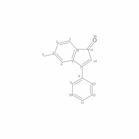 Cc1ccc2c(c1)C(c1ccccc1)=CC2=O